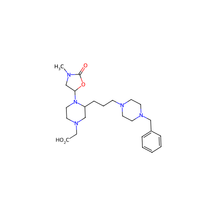 CN1CC(N2CCN(CC(=O)O)CC2CCCN2CCN(Cc3ccccc3)CC2)OC1=O